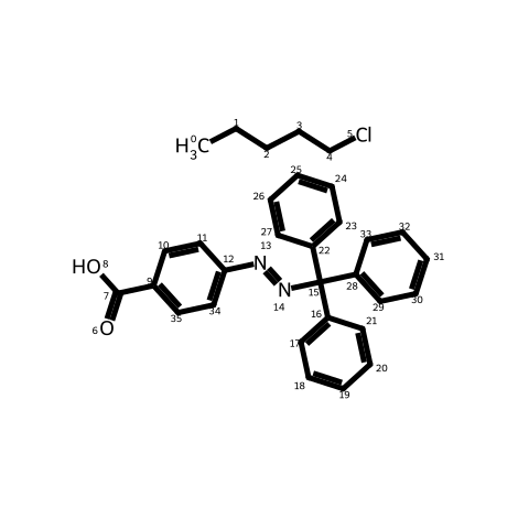 CCCCCCl.O=C(O)c1ccc(N=NC(c2ccccc2)(c2ccccc2)c2ccccc2)cc1